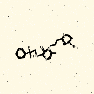 Cc1cnc(NCC(F)(F)c2ccccc2)c(=O)n1CCCc1cc(N)ccn1